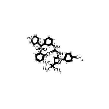 Cc1ccc(-n2nc(C(C)(C)C)cc2NC(=O)Nc2cccc(C(C3CCNCC3)S(=O)(=O)c3ccccc3Cl)c2)cc1